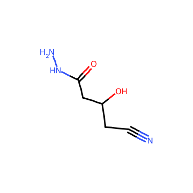 N#CCC(O)CC(=O)NN